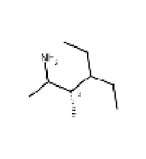 CCC(CC)[C@H](C)C(C)N